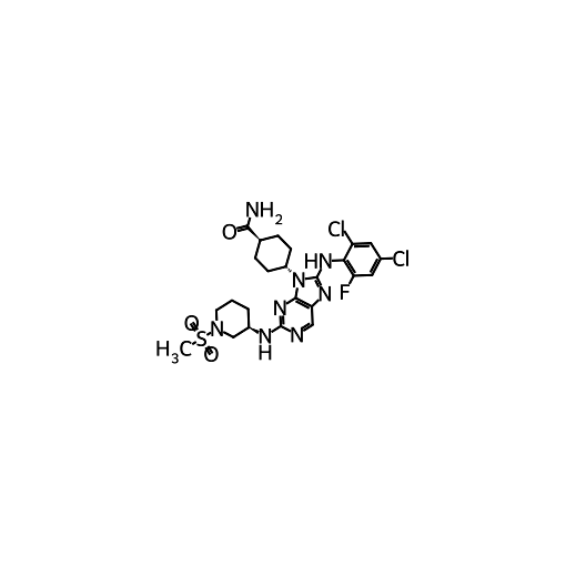 CS(=O)(=O)N1CCC[C@@H](Nc2ncc3nc(Nc4c(F)cc(Cl)cc4Cl)n([C@H]4CC[C@H](C(N)=O)CC4)c3n2)C1